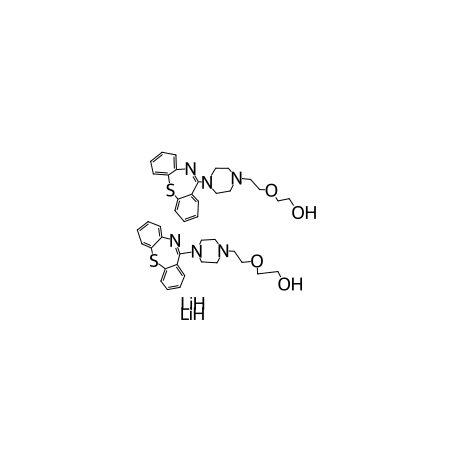 OCCOCCN1CCN(C2=Nc3ccccc3Sc3ccccc32)CC1.OCCOCCN1CCN(C2=Nc3ccccc3Sc3ccccc32)CC1.[LiH].[LiH]